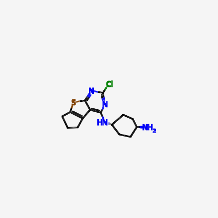 N[C@H]1CC[C@H](Nc2nc(Cl)nc3sc4c(c23)CCC4)CC1